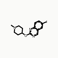 CN1CCC(Oc2ncc3cc(I)ccc3n2)CC1